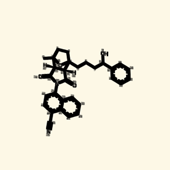 CC12CCC(CCCC(O)c3ccccc3)(O1)[C@@H]1C(=O)N(c3ccc(C#N)c4ccccc34)C(=O)[C@@H]12